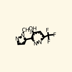 Cn1nccc1-c1nnc(C(F)(F)F)cc1O